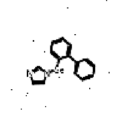 c1ccc(-c2ccccc2[Se]n2ccnc2)cc1